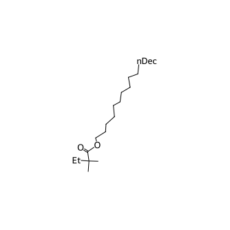 CCCCCCCCCCCCCCCCCCCCOC(=O)C(C)(C)CC